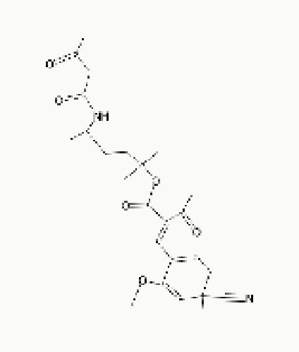 COC1=CC(C)(C#N)CC=C1/C=C(\C(C)=O)C(=O)OC(C)(C)CCC(C)NC(=O)CC(C)=O